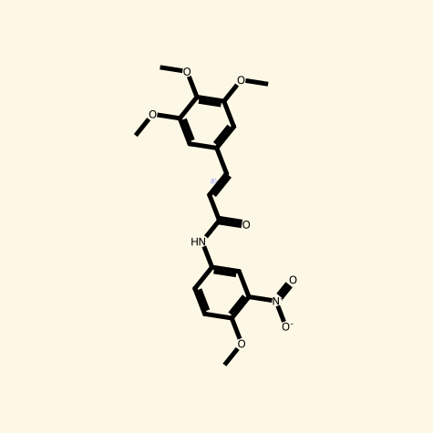 COc1ccc(NC(=O)/C=C/c2cc(OC)c(OC)c(OC)c2)cc1[N+](=O)[O-]